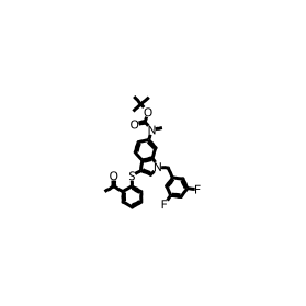 CC(=O)c1ccccc1Sc1cn(Cc2cc(F)cc(F)c2)c2cc(N(C)C(=O)OC(C)(C)C)ccc12